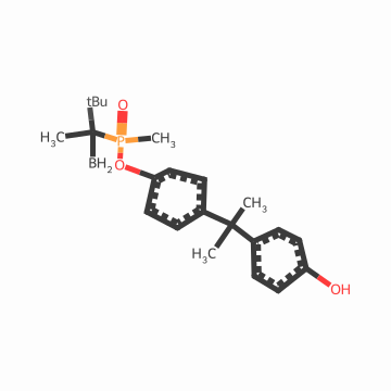 BC(C)(C(C)(C)C)P(C)(=O)Oc1ccc(C(C)(C)c2ccc(O)cc2)cc1